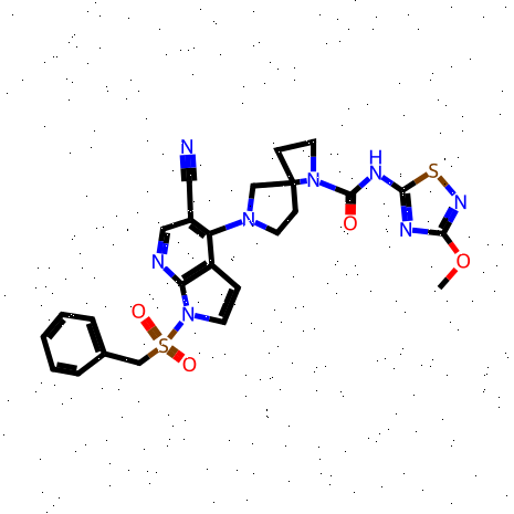 COc1nsc(NC(=O)N2CCC23CCN(c2c(C#N)cnc4c2ccn4S(=O)(=O)Cc2ccccc2)C3)n1